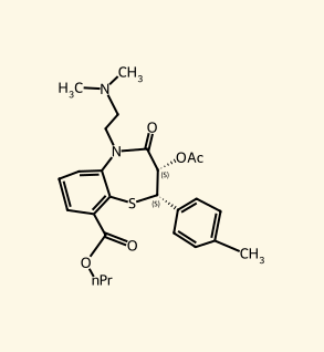 CCCOC(=O)c1cccc2c1S[C@@H](c1ccc(C)cc1)[C@@H](OC(C)=O)C(=O)N2CCN(C)C